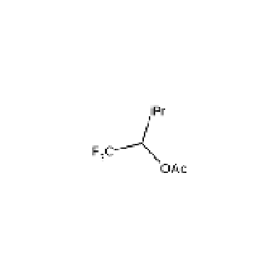 CC(=O)OC(C(C)C)C(F)(F)F